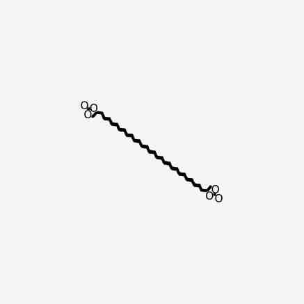 O=C1OCC(CC=CC=C/C=C/C=C/C=CC=C/C=C/C=C/C=CC=C/C=C/C=C/C=CCC2COC(=O)O2)O1